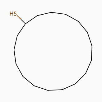 SC1CCCCCCCCCCCCCCCC1